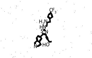 CC(O)C#Cc1nc(NCC(N)Cc2ccc(C(F)(F)F)cc2)sc1-c1ccc2cnccc2c1